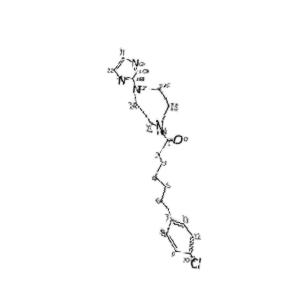 O=C(CCCCCc1ccc(Cl)cc1)N1CCN(c2cnccn2)CC1